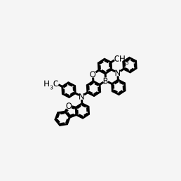 Cc1ccc(N(c2ccc3c(c2)Oc2ccc(C)c4c2B3c2ccccc2N4c2ccccc2)c2cccc3c2oc2ccccc23)cc1